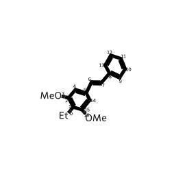 CCc1c(OC)cc(/C=C/c2ccccc2)cc1OC